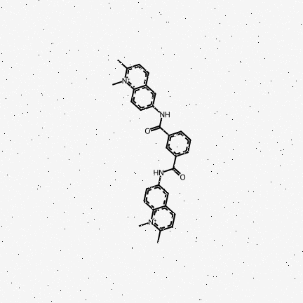 Cc1ccc2cc(NC(=O)c3cccc(C(=O)Nc4ccc5c(ccc(C)[n+]5C)c4)c3)ccc2[n+]1C